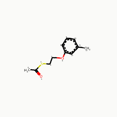 CC(=O)SCCOc1cccc(C)c1